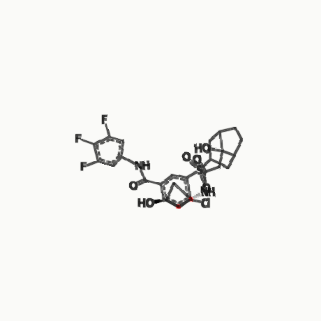 O=C(CC1(O)C2CCC1CC(S(=O)(=O)c1cc(C(=O)Nc3cc(F)c(F)c(F)c3)ccc1Cl)C2)N[C@H]1C[C@H](O)C1